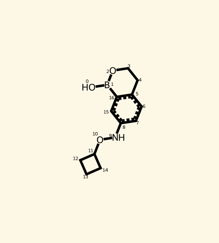 OB1OCCc2ccc(NOC3CCC3)cc21